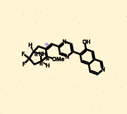 CO[C@@H]1/C(=C\c2cnc(-c3cc4ccncc4cc3O)cn2)C[C@H]2N[C@@H]1CC2(F)F